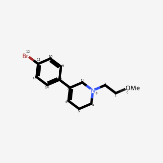 COCCN1CCC=C(c2ccc(Br)cc2)C1